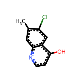 Cc1cc2nccc(O)c2cc1Cl